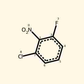 O=[N+]([O-])c1c(F)cccc1Cl